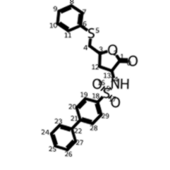 O=C1OC(CSc2ccccc2)CC1NS(=O)(=O)c1ccc(-c2ccccc2)cc1